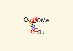 COC(=O)CC(=O)C1(SCc2ccccc2)CN(C(=O)OC(C)(C)C)C1